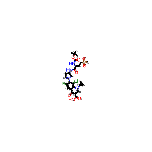 CC(C)(C)OC(=O)NC(CCS(C)(=O)=O)C(=O)NC1CCN(c2c(F)cc3c(=O)c(C(=O)O)cn(C4CC4)c3c2Cl)C1